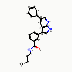 CCCCNC(=O)c1cccc(-c2c[nH]c3ncc(-c4ccccc4)cc23)c1